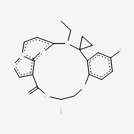 CCN1c2ccn3ncc(c3n2)C(=O)N[C@@H](C)COc2ccc(F)cc2C12CC2